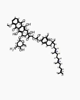 COc1cccc2c1C(=O)c1c(O)c3c(c(O)c1C2=O)CC(O)(C(=O)COC(=O)Oc1cc(C)c2c(c1)CCC(C)(CC/C=C(\C)CC/C=C(\C)CCC=C(C)C)O2)CC3OC1CC(N)C(O)C(C)O1